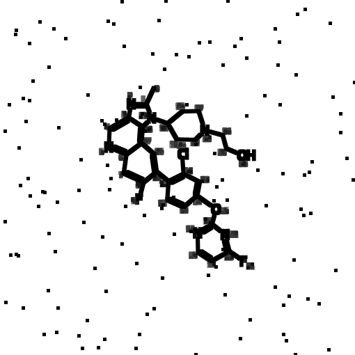 Cc1nc2cnc3cc(F)c(-c4ccc(Oc5nccc(F)n5)cc4Cl)cc3c2n1C1CCN(CCO)CC1